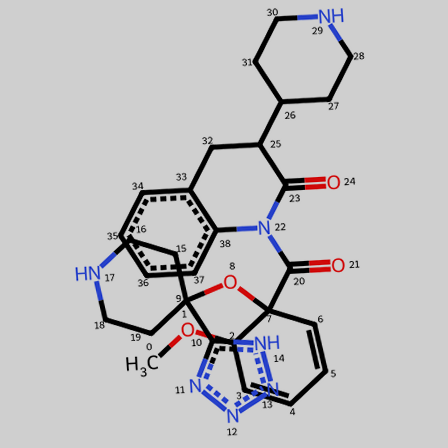 COC1C=CC=CC1(OC1(c2nnn[nH]2)CCNCC1)C(=O)N1C(=O)C(C2CCNCC2)Cc2ccccc21